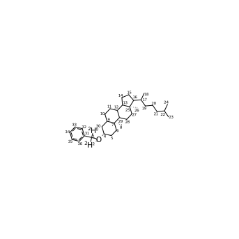 [2H]C([2H])(O[C@H]1CC[C@@]2(C)C(CCC3C4CCC(C(C)CCCC(C)C)[C@@]4(C)CCC32)C1)c1ccccc1